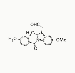 COc1ccc2c(c1)c(CC=O)c(C)n2C(=O)c1ccc(C)cc1